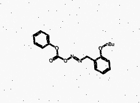 CCCCOc1ccccc1CN=NOC(=O)Oc1ccccc1